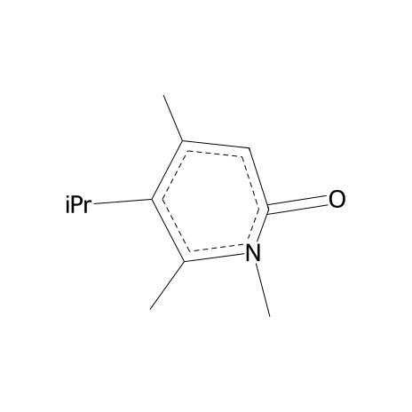 Cc1cc(=O)n(C)c(C)c1C(C)C